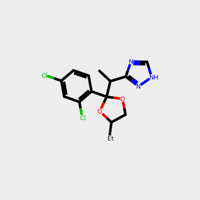 CCC1COC(c2ccc(Cl)cc2Cl)(C(C)c2nc[nH]n2)O1